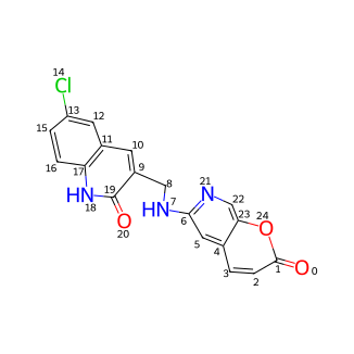 O=c1ccc2cc(NCc3cc4cc(Cl)ccc4[nH]c3=O)ncc2o1